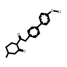 CCOc1ccc(-c2ccc(CC(=O)C3CCC(C)CC3=O)cc2)cc1